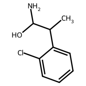 CC(c1ccccc1Cl)C(N)O